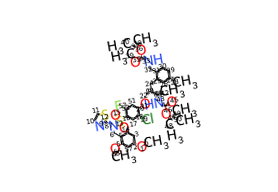 COc1ccc(CN(c2nccs2)S(=O)(=O)c2cc(Cl)c(OC[C@H](Cc3cc(C)ccc3CNC(=O)OC(C)(C)C)[C@@H](C)NC(=O)OC(C)(C)C)cc2F)c(OC)c1